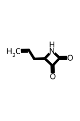 C=CCC1NC(=O)C1=O